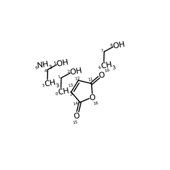 CCO.CCO.CCO.N.O=C1C=CC(=O)O1